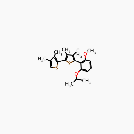 COc1cccc(OC(C)C)c1-c1sc(-c2scc(C)c2C)c(C)c1C